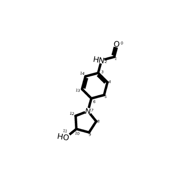 O=CNC1=CCC(N2CCC(O)C2)C=C1